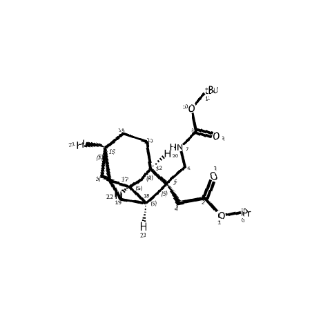 CC(C)OC(=O)C[C@]1(CNC(=O)OC(C)(C)C)[C@@H]2CC[C@H]3C[C@@H]2[C@@H]1C3